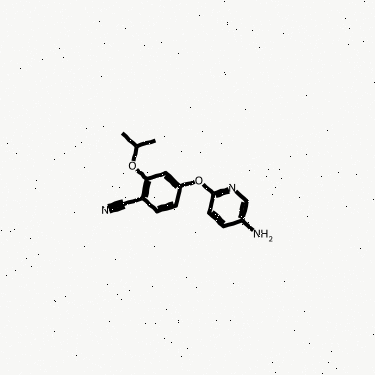 CC(C)Oc1cc(Oc2ccc(N)cn2)ccc1C#N